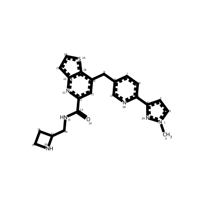 Cn1ccc(-c2ccc(Cc3cc(C(=O)NCC4CCN4)nc4ccsc34)cn2)n1